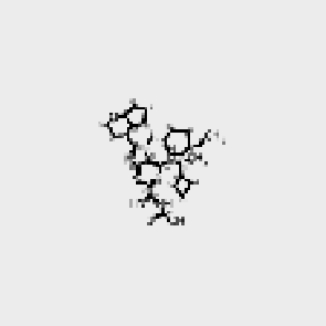 C=C[C@H]1CC[C@H](Cn2c(N3CCOC4CCCC43)nc3nc(C(=N)NC(=O)O)nc(N[C@H](C)C4CCC4)c32)CC1